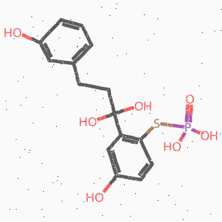 O=P(O)(O)Sc1ccc(O)cc1C(O)(O)CCc1cccc(O)c1